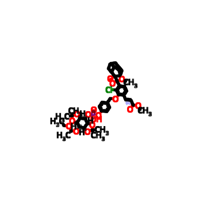 CCOC(C)O[C@@H]1[C@H]2OC(C)(C)O[C@H]2[C@@H](OP(=O)(O)Oc2ccc(COc3c(/C=C/C(=O)OC)ccc(C4(OC)OOC45C4CC6CC(C4)CC5C6)c3Cl)cc2)[C@@H]2OC(C)(C)O[C@@H]12